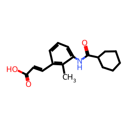 Cc1c(C=CC(=O)O)cccc1NC(=O)C1CCCCC1